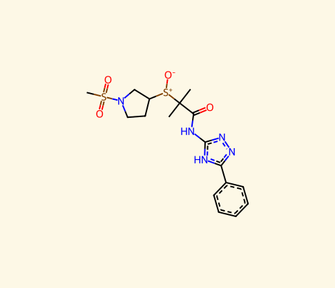 CC(C)(C(=O)Nc1nnc(-c2ccccc2)[nH]1)[S+]([O-])C1CCN(S(C)(=O)=O)C1